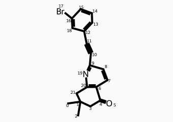 CC1(C)CC(=O)c2ccc(C#Cc3cccc(Br)c3)nc2C1